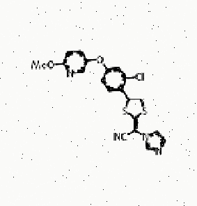 COc1ccc(Oc2ccc(C3CS/C(=C(/C#N)n4ccnc4)S3)c(Cl)c2)cn1